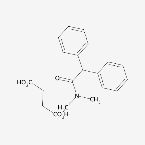 CN(C)C(=O)C(c1ccccc1)c1ccccc1.O=C(O)CCC(=O)O